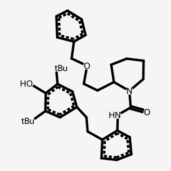 CC(C)(C)c1cc(CCc2ccccc2NC(=O)N2CCCCC2CCOCc2ccccc2)cc(C(C)(C)C)c1O